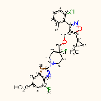 Cc1cccc(Cl)c1-c1noc(C2CC2C(F)(F)F)c1COCC1(F)CCN(c2nc3c(F)cc(C(=O)O)cc3s2)CC1